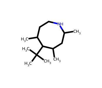 CC1CC(C)C(C(C)(C)C)C(C)CCN1